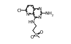 CS(=O)(=O)CCNc1nc(N)nc2ccc(Cl)nc12